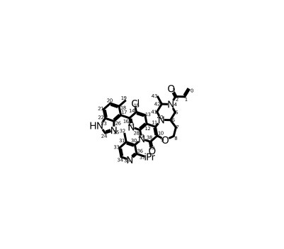 C=CC(=O)N1CC2CCOc3c(c4cc(Cl)c(-c5c(C)ccc6[nH]cnc56)nc4n(-c4c(C)ccnc4C(C)C)c3=O)N2CC1C